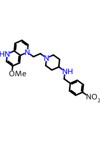 COC1=CNC2=CC=CN(CCN3CCC(NCc4ccc([N+](=O)[O-])cc4)CC3)C2=C1